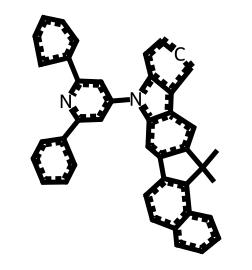 CC1(C)c2cc3c4ccccc4n(-c4cc(-c5ccccc5)nc(-c5ccccc5)c4)c3cc2-c2ccc3ccccc3c21